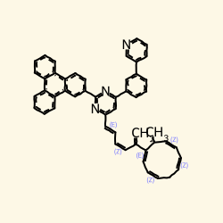 C=C(/C=C\C=C\c1cc(-c2cccc(-c3cccnc3)c2)nc(-c2ccc3c4ccccc4c4ccccc4c3c2)n1)/C1=C/C=C\C/C=C\C=C/C1C